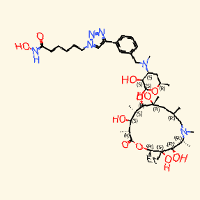 CC[C@H]1OC(=O)[C@H](C)[C@@H](O)[C@H](C)[C@@H](O[C@@H]2O[C@H](C)C[C@H](N(C)Cc3cccc(-c4cn(CCCCCC(=O)NO)nn4)c3)[C@@H]2O)[C@](C)(O)C[C@@H](C)CN(C)[C@H](C)[C@@H](O)[C@]1(C)O